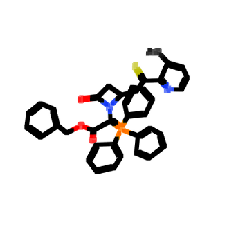 CC(=O)Oc1cccnc1C(=S)CC1CC(=O)N1C(C(=O)OCc1ccccc1)=P(c1ccccc1)(c1ccccc1)c1ccccc1